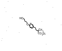 CCOC(=O)C(C)CCc1ccc(OCCCO)nc1